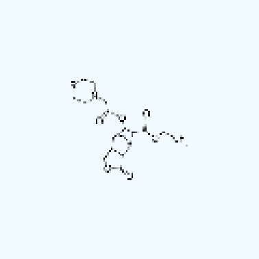 O=C(CN1CCSCC1)OC1C2CC(C3C(=O)OCC23)C1C(=O)OCC(F)(F)F